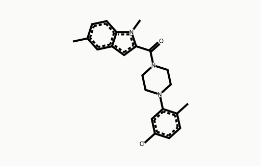 Cc1ccc2c(c1)cc(C(=O)N1CCN(c3cc(Cl)ccc3C)CC1)n2C